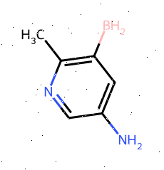 Bc1cc(N)cnc1C